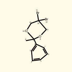 CC1(c2ccccc2)OCC(Br)(Br)CO1